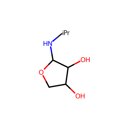 CC(C)NC1OCC(O)C1O